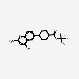 Cc1nc(O)c2cc(C3CCN(C(=O)OC(C)(C)C)CC3)ccc2n1